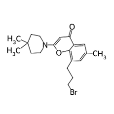 Cc1cc(CCCBr)c2oc(N3CCC(C)(C)CC3)cc(=O)c2c1